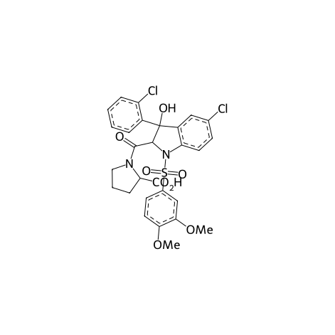 COc1ccc(S(=O)(=O)N2c3ccc(Cl)cc3C(O)(c3ccccc3Cl)C2C(=O)N2CCCC2C(=O)O)cc1OC